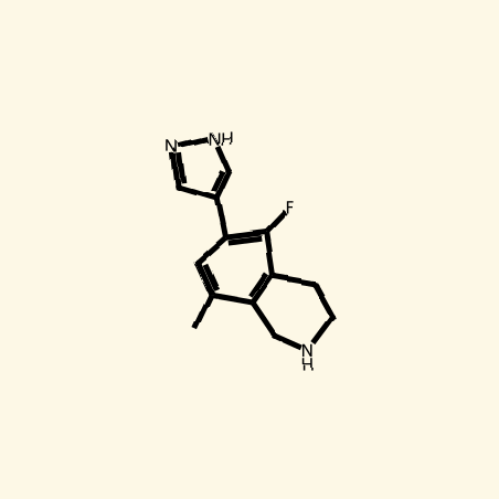 Cc1cc(-c2cn[nH]c2)c(F)c2c1CNCC2